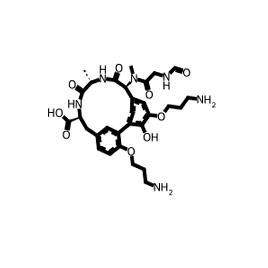 C[C@@H]1NC(=O)[C@@H](N(C)C(=O)CNC=O)c2cc(OCCCN)c(O)c(c2)-c2cc(ccc2OCCCN)C[C@@H](C(=O)O)NC1=O